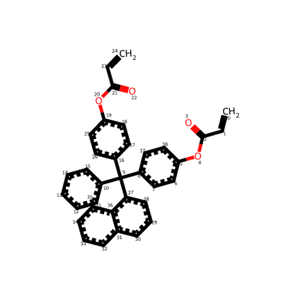 C=CC(=O)Oc1ccc(C(c2ccccc2)(c2ccc(OC(=O)C=C)cc2)c2cccc3ccccc23)cc1